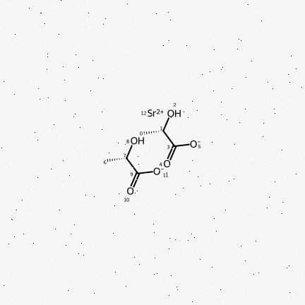 C[C@H](O)C(=O)[O-].C[C@H](O)C(=O)[O-].[Sr+2]